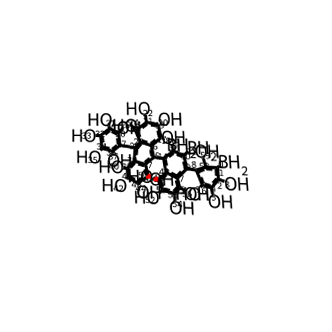 Bc1c(O)c(O)c(O)c(-c2c(B)c(B)c(-c3c4c(O)c(O)c(O)c(O)c4c(-c4c(O)c(O)c(O)c(O)c4O)c4c(O)c(O)c(O)c(O)c34)c3c(O)c(O)c(O)c(O)c23)c1O